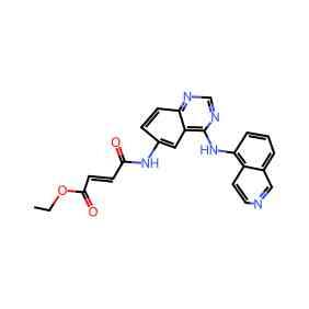 CCOC(=O)C=CC(=O)Nc1ccc2ncnc(Nc3cccc4cnccc34)c2c1